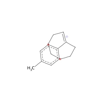 Cc1ccc(/C2=C\CCCCCC2)cc1